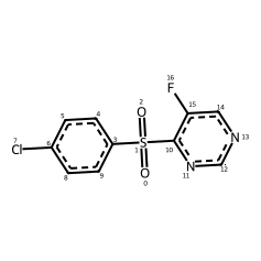 O=S(=O)(c1ccc(Cl)cc1)c1n[c]ncc1F